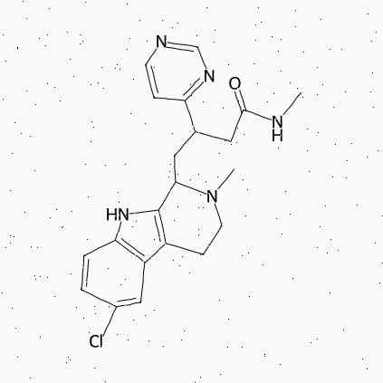 CNC(=O)CC(CC1c2[nH]c3ccc(Cl)cc3c2CCN1C)c1ccncn1